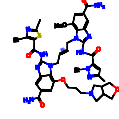 CCc1nc(C)sc1C(=O)Nc1nc2cc(C(N)=O)cc(OCCCN3CC4COCC4C3)c2n1C/C=C/Cn1c(NC(=O)c2cc(C)nn2CC)nc2cc(C(N)=O)cc(OC)c21